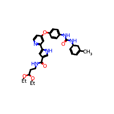 CCOC(CCNC(=O)c1c[nH]c(-c2cc(Oc3ccc(NC(=O)NC4C=CC=C(C)C4)cc3)ccn2)c1)OCC